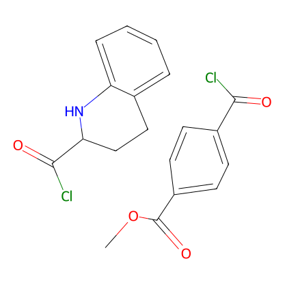 COC(=O)c1ccc(C(=O)Cl)cc1.O=C(Cl)C1CCc2ccccc2N1